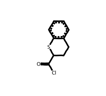 O=C(Cl)C1CCc2ccccc2S1